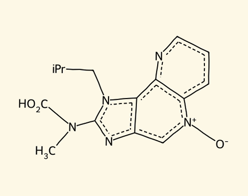 CC(C)Cn1c(N(C)C(=O)O)nc2c[n+]([O-])c3cccnc3c21